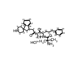 CCN(C(=O)CC1CC2(CCNCC2)c2ccccc21)C(=O)[C@@H](CCCc1ccccc1)NC(=O)C(C)(C)N.Cl